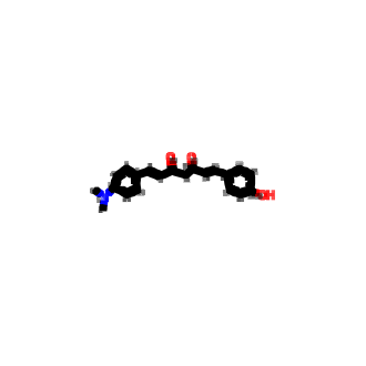 CN(C)c1ccc(/C=C/C(=O)CC(=O)/C=C/c2ccc(O)cc2)cc1